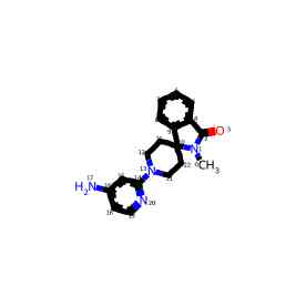 CN1C(=O)c2ccccc2C12CCN(c1cc(N)ccn1)CC2